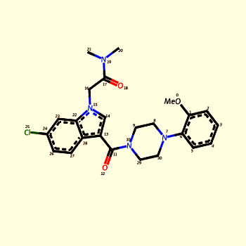 COc1ccccc1N1CCN(C(=O)c2cn(CC(=O)N(C)C)c3cc(Cl)ccc23)CC1